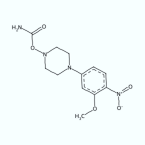 COc1cc(N2CCN(OC(N)=O)CC2)ccc1[N+](=O)[O-]